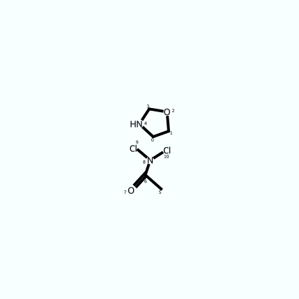 C1COCN1.CC(=O)N(Cl)Cl